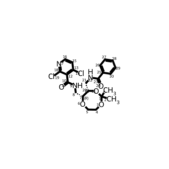 CC1(C)OCCO[C@H](CNC(=O)c2c(Cl)ccnc2Cl)[C@H](CNC(=O)c2ccccc2)O1